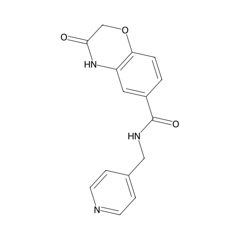 O=C1COc2ccc(C(=O)NCc3ccncc3)cc2N1